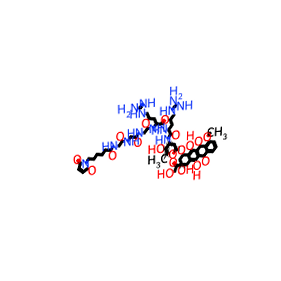 COc1cccc2c1C(=O)c1c(O)c3c(c(O)c1C2=O)C[C@](O)(C(=O)CO)CC3O[C@@H]1C[C@@H](NC(=O)C(CCCNC(=N)N)NC(=O)C(CCCNC(=N)N)NC(=O)CNC(=O)CNC(=O)CNC(=O)CCCCCN2C(=O)C=CC2=O)[C@@H](O)[C@@H](C)O1